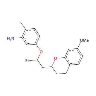 [CH2]CC(CC1CCc2ccc(OC)cc2O1)Oc1ccc(C)c(N)c1